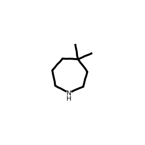 CC1(C)CCCNCC1